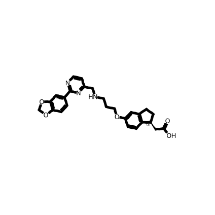 O=C(O)C[C@@H]1CCc2cc(OCCCNCc3ccnc(-c4ccc5c(c4)OCO5)n3)ccc21